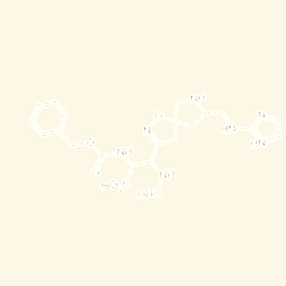 O=CNC(C1=NO[C@]2(CNC(CNc3ncc[nH]3)C2)C1)C(NC(=O)OCc1ccccc1)C(=O)O